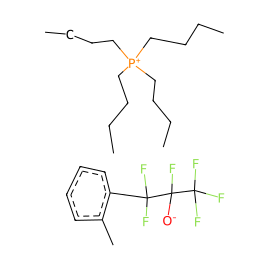 CCCC[P+](CCCC)(CCCC)CCCC.Cc1ccccc1C(F)(F)C([O-])(F)C(F)(F)F